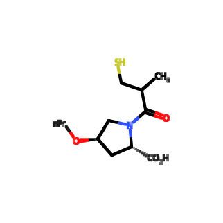 CCCO[C@@H]1C[C@@H](C(=O)O)N(C(=O)C(C)CS)C1